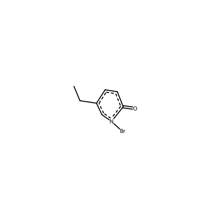 CCc1ccc(=O)n(Br)c1